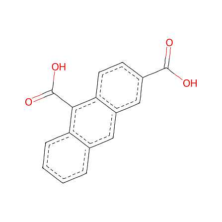 O=C(O)c1ccc2c(C(=O)O)c3ccccc3cc2c1